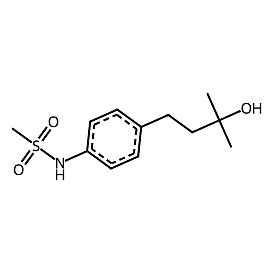 CC(C)(O)CCc1ccc(NS(C)(=O)=O)cc1